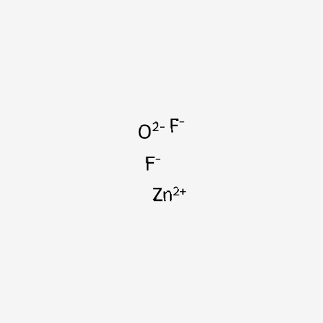 [F-].[F-].[O-2].[Zn+2]